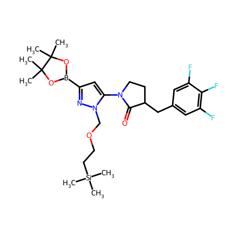 CC1(C)OB(c2cc(N3CCC(Cc4cc(F)c(F)c(F)c4)C3=O)n(COCC[Si](C)(C)C)n2)OC1(C)C